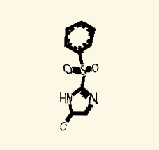 O=C1CN=C(S(=O)(=O)c2ccccc2)N1